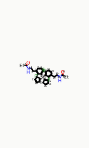 CCC(=O)NCCc1ccc(F)[c]([Sn]([C]2=CC=CC2)([C]2=CC=CC2)[c]2c(F)ccc(CCNC(=O)CC)c2F)c1F